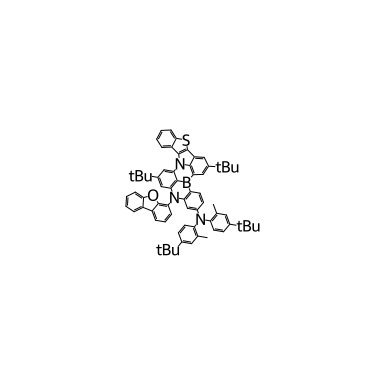 Cc1cc(C(C)(C)C)ccc1N(c1ccc2c(c1)N(c1cccc3c1oc1ccccc13)c1cc(C(C)(C)C)cc3c1B2c1cc(C(C)(C)C)cc2c4sc5ccccc5c4n-3c12)c1ccc(C(C)(C)C)cc1C